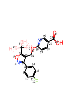 BC(B)(B)c1onc(-c2ccc(F)cc2)c1COc1ccc(C(=O)O)cn1